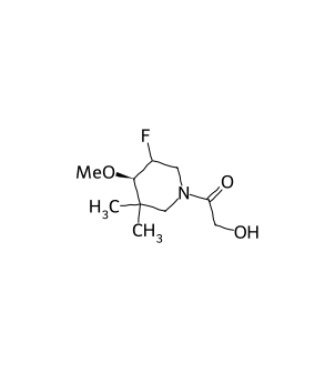 CO[C@H]1C(F)CN(C(=O)CO)CC1(C)C